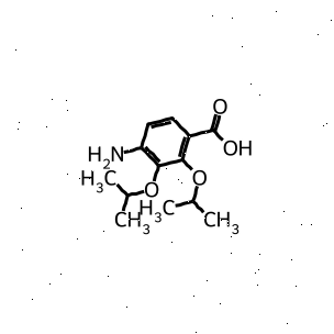 CC(C)Oc1c(N)ccc(C(=O)O)c1OC(C)C